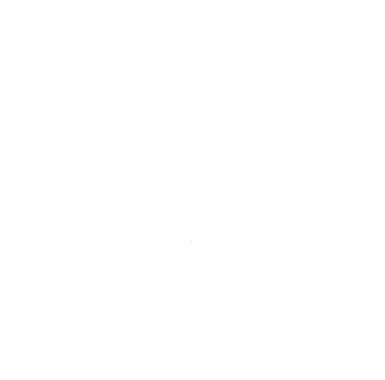 CC1(C)CCCC(C)(C)N1Cc1cccc(B(O)O)c1